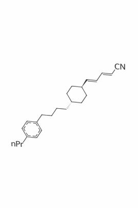 CCCc1ccc(CCCC[C@H]2CC[C@H](C=CC=CC#N)CC2)cc1